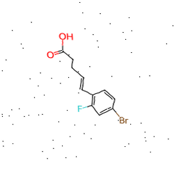 O=C(O)CC/C=C/c1ccc(Br)cc1F